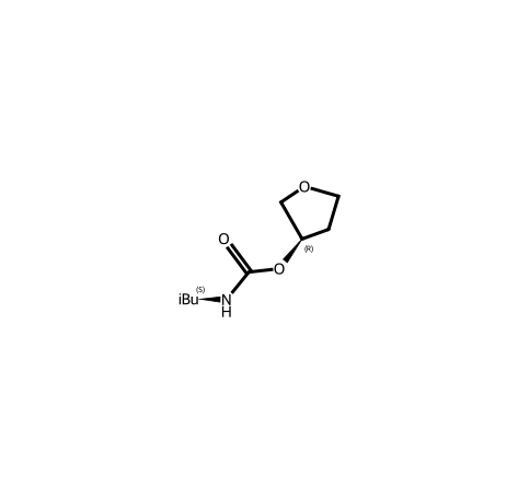 CC[C@H](C)NC(=O)O[C@@H]1CCOC1